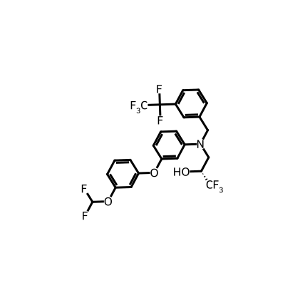 O[C@H](CN(Cc1cccc(C(F)(F)C(F)(F)F)c1)c1cccc(Oc2cccc(OC(F)F)c2)c1)C(F)(F)F